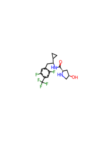 O=C(NC(Cc1cc(F)c(C(F)(F)F)cc1F)C1CC1)[C@H]1C[C@@H](O)CN1